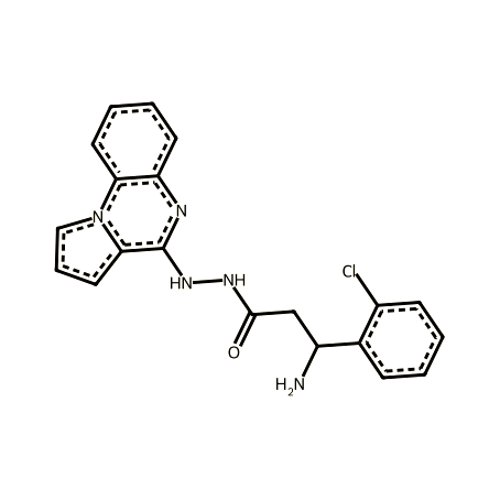 NC(CC(=O)NNc1nc2ccccc2n2cccc12)c1ccccc1Cl